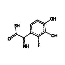 N=C(C(=O)S)c1ccc(O)c(O)c1F